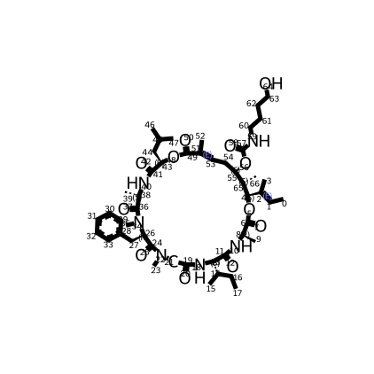 C/C=C(\C)[C@H]1OC(=O)[C@@H](C)NC(=O)[C@H](C(C)CC)NC(=O)CN(C)C(=O)[C@@H](Cc2ccccc2)N(C)C(=O)[C@H](C)NC(=O)[C@@H](CC(C)C)OC(=O)/C(C)=C/C[C@H](OC(=O)NCCCCO)[C@@H]1C